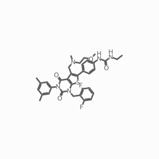 CCNC(=O)Nc1ccc(-c2sc3c(c2CN(C)CCOC)c(=O)n(-c2cc(C)cc(C)c2)c(=O)n3Cc2c(F)cccc2F)cc1